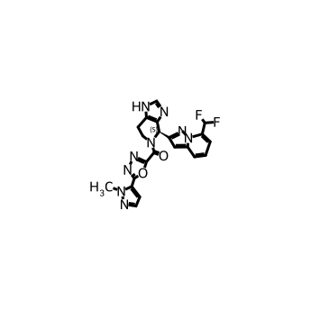 Cn1nccc1-c1nnc(C(=O)N2CCc3[nH]cnc3[C@H]2c2cc3cccc(C(F)F)n3n2)o1